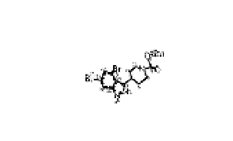 Cn1nc(C2CCN(C(=O)OC(C)(C)C)CC2)c2c(Br)cc(Br)cc21